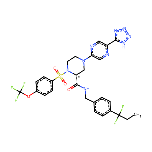 CCC(F)(F)c1ccc(CNC(=O)[C@H]2CN(c3cnc(-c4nnn[nH]4)cn3)CCN2S(=O)(=O)c2ccc(OC(F)(F)F)cc2)cc1